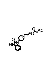 CC(=O)CC(=O)OCCCN1CCC(n2c(=O)[nH]c3ccccc32)CC1